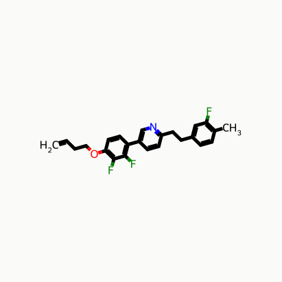 C=CCCOc1ccc(-c2ccc(CCc3ccc(C)c(F)c3)nc2)c(F)c1F